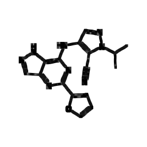 CC(C)n1ncc(Nc2nc(-c3ccco3)nc3cn[nH]c23)c1C#N